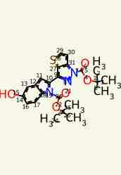 CC(C)(C)OC(=O)n1nc(-c2cc3cc(O)ccc3n2C(=O)OC(C)(C)C)c2sccc21